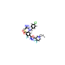 CN1CCC(F)(F)C(c2nnc(-c3cc4c(cc3F)S(=O)(=O)C[C@H](N)CN4Cc3ccc(Cl)cc3)o2)C1